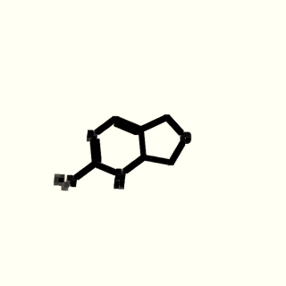 NC1=NC=C2COCC2N1